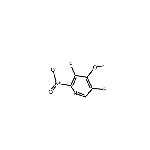 COc1c(F)cnc([N+](=O)[O-])c1F